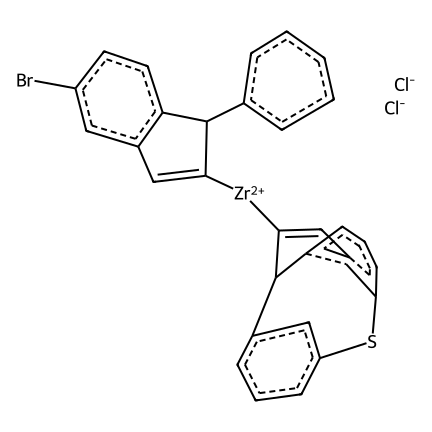 Brc1ccc2c(c1)C=[C]([Zr+2][C]1=Cc3c4cccc3C1c1cccc(c1)S4)C2c1ccccc1.[Cl-].[Cl-]